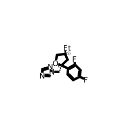 CC[C@@H]1CO[C@](Cn2cncn2)(c2ccc(F)cc2F)C1